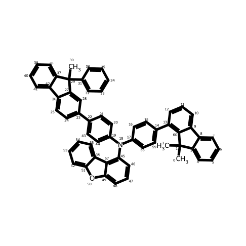 CC1(C)c2ccccc2-c2cccc(-c3ccc(N(c4ccc(-c5ccc6c(c5)C(C)(c5ccccc5)c5ccccc5-6)cc4)c4cccc5oc6ccccc6c45)cc3)c21